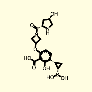 O=C(O)c1c(OC2CN(C(=O)[C@@H]3C[C@@H](O)CN3)C2)ccc([C@@H]2C[C@@H]2B(O)O)c1O